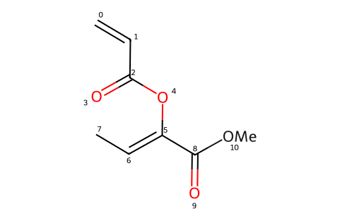 C=CC(=O)OC(=CC)C(=O)OC